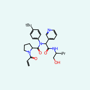 C=CC(=O)N1CCCC1C(=O)N(c1ccc(C(C)(C)C)cc1)C(C(=O)NC(CO)C(C)C)c1cccnc1